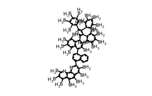 Bc1nc2c(c(B)c1B)c(B)c(B)c1c(B)c(B)c(-c3ccc(-c4c(B)c(B)c(-c5oc(-c6c(B)c(B)c(B)c(B)c6B)c(-c6c(B)c(B)c(B)c(B)c6B)c5-c5c(B)c(B)c(B)c(B)c5B)c5c(B)c(B)c(B)c(B)c45)c4ccccc34)nc12